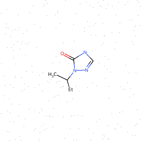 CCC(C)N1N=C[N]C1=O